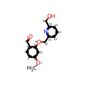 COc1ccc(C=O)c(OCc2cccc(CO)n2)c1